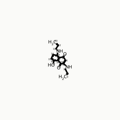 C=CCNC1=CC(=O)c2c(NCC=C)ccc(O)c2C1=O